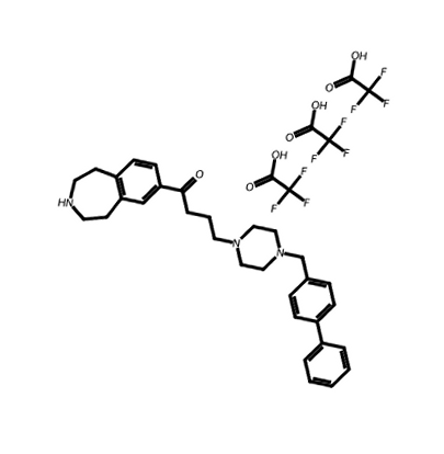 O=C(CCCN1CCN(Cc2ccc(-c3ccccc3)cc2)CC1)c1ccc2c(c1)CCNCC2.O=C(O)C(F)(F)F.O=C(O)C(F)(F)F.O=C(O)C(F)(F)F